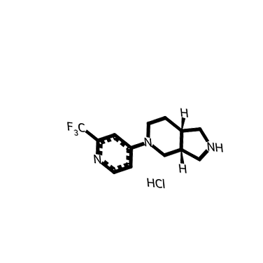 Cl.FC(F)(F)c1cc(N2CC[C@@H]3CNC[C@@H]3C2)ccn1